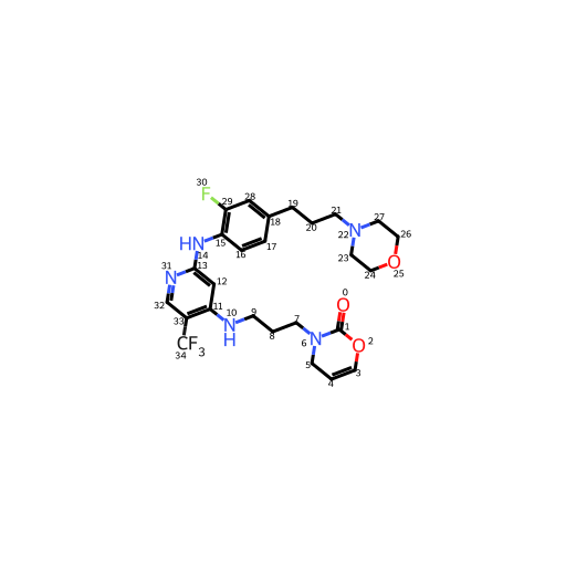 O=C1OC=CCN1CCCNc1cc(Nc2ccc(CCCN3CCOCC3)cc2F)ncc1C(F)(F)F